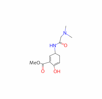 COC(=O)C1=CC(NC(=O)CN(C)C)CC=C1O